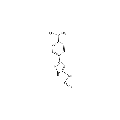 CC(C)c1ccc(-c2cc(NC=O)[nH]n2)cc1